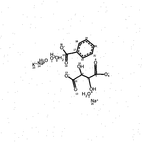 O.O.O.O.O=C([O-])C(O)C(O)C(=O)[O-].O=C([O-])c1ccccc1.[K+].[Na+].[Na+]